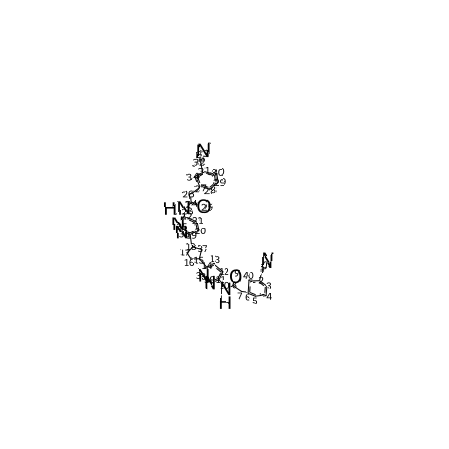 N#Cc1cccc(CC(=O)Nc2ccc(C3CCC(c4ccc(NC(=O)Cc5cccc(C#N)c5)nn4)C3)nn2)c1